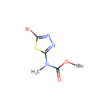 CN(C(=O)OC(C)(C)C)c1nnc(Br)s1